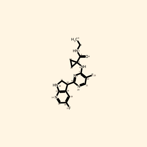 CCNC(=O)C1(Nc2nc(C3CNc4ncc(F)cc43)ncc2F)CC1